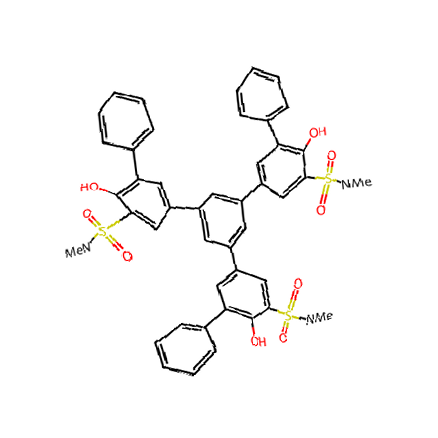 CNS(=O)(=O)c1cc(-c2cc(-c3cc(-c4ccccc4)c(O)c(S(=O)(=O)NC)c3)cc(-c3cc(-c4ccccc4)c(O)c(S(=O)(=O)NC)c3)c2)cc(-c2ccccc2)c1O